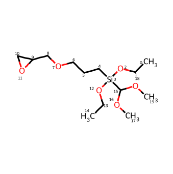 CCO[Si](CCCOCC1CO1)(OCC)C(OC)OC